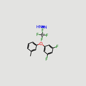 Cc1cccc(Oc2cc(F)cc(F)c2)c1.F[B-](F)(F)F.N#[NH+]